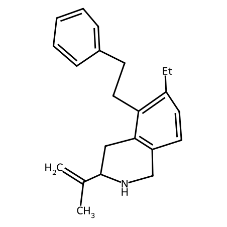 C=C(C)C1Cc2c(ccc(CC)c2CCc2ccccc2)CN1